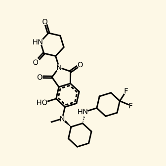 CN(c1ccc2c(c1O)C(=O)N(C1CCC(=O)NC1=O)C2=O)[C@@H]1CCCC[C@H]1NC1CCC(F)(F)CC1